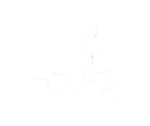 CC(C)(C)C(NC(=O)c1nn(Cc2ccc(N)cc2)c2cc(F)ccc12)C(N)=O